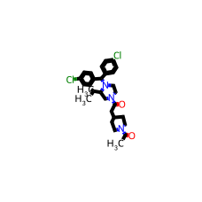 CC(=O)N1CCC(CC(=O)N2CCN(C(c3ccc(Cl)cc3)c3ccc(Cl)cc3)C(C(C)C)C2)CC1